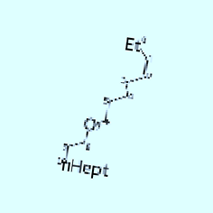 CC/C=C\CCCCOCCCCCCCCC